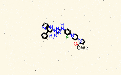 COC(=O)[C@@H]1CCCN1C1CCN(c2ccc(Nc3nc(N)n(-c4cc(-c5ccccc5)c5c(n4)C4CCN5CC4)n3)cc2F)CC1